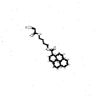 C=CC(=O)OCCCCOC(=O)c1ccc2ccc3cccc4ccc1c2c34